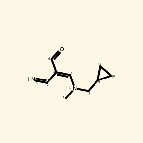 CN(/C=C(\C=N)C=O)CC1CC1